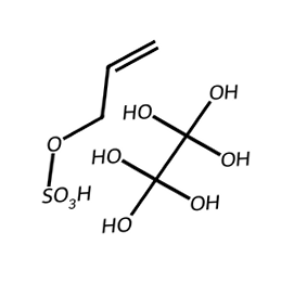 C=CCOS(=O)(=O)O.OC(O)(O)C(O)(O)O